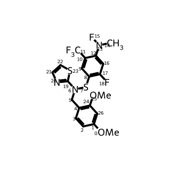 COc1ccc(CN(Sc2cc(C(F)(F)F)c(N(C)F)cc2F)c2nccs2)c(OC)c1